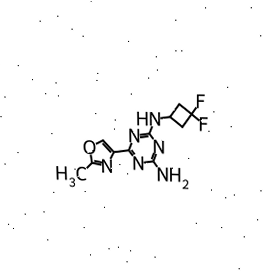 Cc1nc(-c2nc(N)nc(NC3CC(F)(F)C3)n2)co1